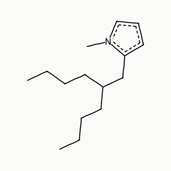 CCCCC(CCCC)Cc1cccn1C